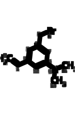 C=Cc1cc(CBr)cc(N(C)C)c1